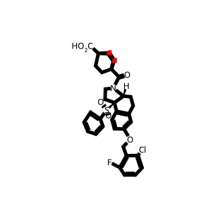 O=C(O)C12CCC(C(=O)N3CC[C@@]4(S(=O)(=O)c5ccccc5)c5ccc(OCc6c(F)cccc6Cl)cc5CC[C@@H]34)(CC1)CC2